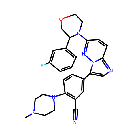 CN1CCN(c2ccc(-c3cnc4ccc(N5CCOCC5c5cccc(F)c5)nn34)cc2C#N)CC1